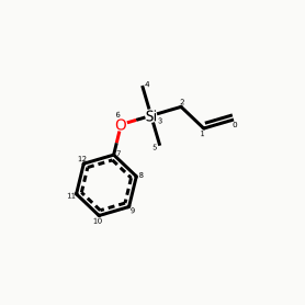 C=CC[Si](C)(C)Oc1ccccc1